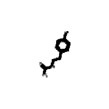 N#Cc1ccc(CCNC(=O)C(F)(F)F)cc1